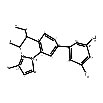 CCC(CC)c1ccc(-c2cc(F)cc(Cl)c2)cc1-n1ccc(C)n1